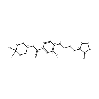 CC1CCCN1CCCOc1ccc(C(=O)CN2CCC(F)(F)CC2)cc1Cl